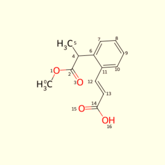 COC(=O)C(C)c1ccccc1/C=C/C(=O)O